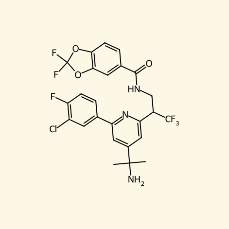 CC(C)(N)c1cc(-c2ccc(F)c(Cl)c2)nc(C(CNC(=O)c2ccc3c(c2)OC(F)(F)O3)C(F)(F)F)c1